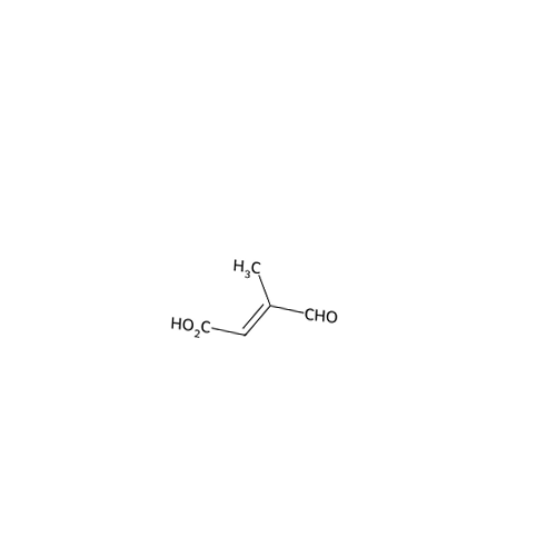 CC(C=O)=CC(=O)O